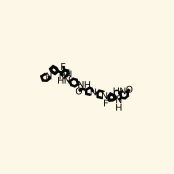 O=C1CCC(Nc2ccc(N3CCC(N4CCC(C(=O)N[C@H]5CC[C@H](Nc6ncc(F)c(-c7cccc(N8CCCCC8)c7)n6)CC5)CC4)CC3)c(F)c2)C(=O)N1